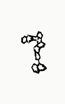 c1ccc2c(-c3ccc4sc5c(ccc6c7cccc8c9nc%10ccccc%10nc9n(c78)c65)c4c3)cccc2c1